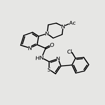 CC(=O)N1CCN(c2cccnc2C(=O)Nc2nc(-c3ccccc3Cl)cs2)CC1